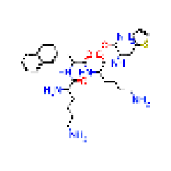 NCCCCC(N)C(=O)NC(Cc1ccc2ccccc2c1)C(=O)NC(CCCCN)C(=O)NC(Cc1cccs1)C(N)=O